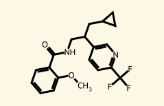 COc1ccccc1C(=O)NCC(CC1CC1)c1ccc(C(F)(F)F)nc1